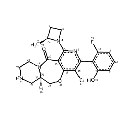 C[C@H]1CCN1c1nc(-c2c(O)cccc2F)c(Cl)c2c1C(=O)N1CCNC[C@@H]1CO2